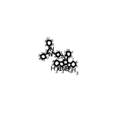 CC1(C)c2ccccc2-c2c1c1c(c3c2c2ccccc2n3-c2ccc(-c3nc(-c4ccccc4)cc(-c4ccccc4)n3)cc2)-c2ccccc2C1(C)C